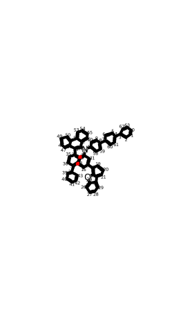 c1ccc(-c2ccc(-c3ccc(N(c4cccc(-c5cccc6c5oc5ccccc56)c4)c4c(-c5ccc(-c6ccccc6)cc5)c5ccccc5c5ccccc45)cc3)cc2)cc1